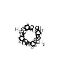 Cc1cccc2c1OC(=O)c1cccc(C)c1OC(=O)c1cccc(C)c1OC(=O)c1cccc(C)c1OC2=O